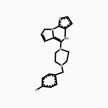 Fc1ccc(CN2CCN(C3=C4C=CCN4c4sccc4N3)CC2)cc1